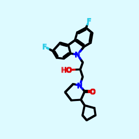 O=C1C(C2CCCC2)CCCN1CC(O)Cn1c2ccc(F)cc2c2cc(F)ccc21